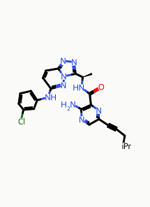 CC(C)CC#Cc1cnc(N)c(C(=O)N[C@H](C)c2nnc3ccc(Nc4cccc(Cl)c4)nn23)n1